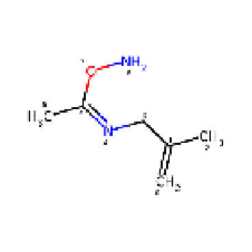 C=C(C)C/N=C(/C)ON